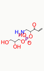 C=CC(=O)C(CN)OP(=O)(O)OCC(O)CO